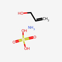 C=CCO.N.O=S(=O)(O)O